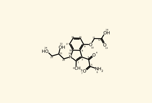 Cc1c(C(=O)C(N)=O)c2c(OCC(=O)O)cccc2n1CC(O)CO